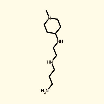 CN1CCC(NCCNCCCN)CC1